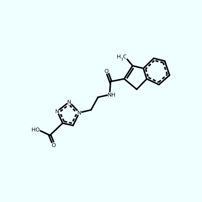 CC1=C(C(=O)NCCn2cc(C(=O)O)nn2)Cc2ccccc21